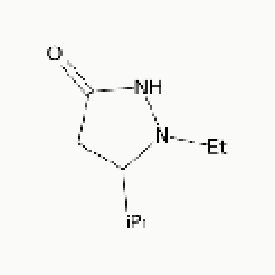 CCN1NC(=O)CC1C(C)C